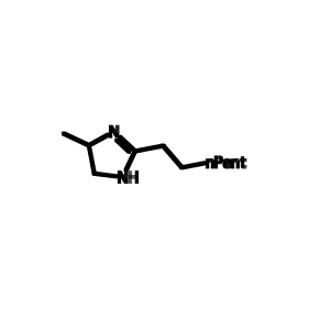 CCCCCCCC1=NC(C)CN1